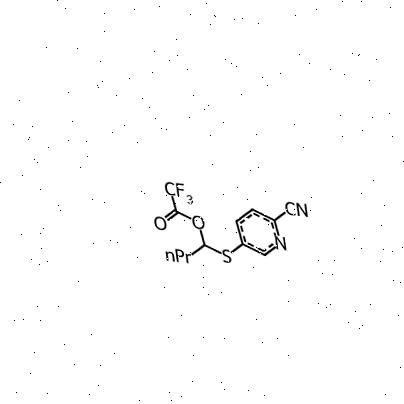 CCCC(OC(=O)C(F)(F)F)Sc1ccc(C#N)nc1